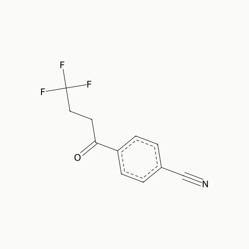 N#Cc1ccc(C(=O)CCC(F)(F)F)cc1